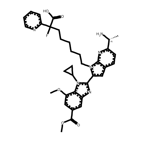 COC(=O)c1cc(OC)c2c(c1)nc(-c1cc3ccc([C@@H](C)N)nc3n1CCCCCCC(F)(C(=O)O)c1ccccn1)n2C1CC1